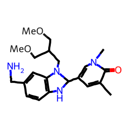 COCC(COC)CN1c2cc(CN)ccc2NC1c1cc(C)c(=O)n(C)c1